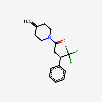 C=C1CCN(C(=O)C[C@H](c2ccccc2)C(F)(F)F)CC1